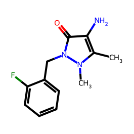 Cc1c(N)c(=O)n(Cc2ccccc2F)n1C